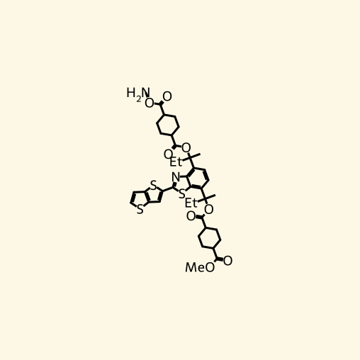 CCC(C)(OC(=O)C1CCC(C(=O)ON)CC1)c1ccc(C(C)(CC)OC(=O)C2CCC(C(=O)OC)CC2)c2sc(-c3cc4sccc4s3)nc12